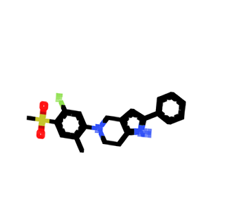 Cc1cc(S(C)(=O)=O)c(F)cc1N1CCc2[nH]c(-c3ccccc3)cc2C1